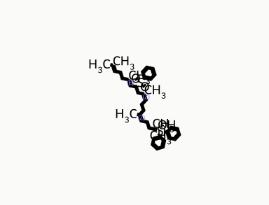 CC(C)=CCC/C(C)=C/C(C/C(C)=C\CC/C(C)=C\CCC(C)(C)[Si](O)(c1ccccc1)c1ccccc1)S(=O)(=O)c1ccccc1